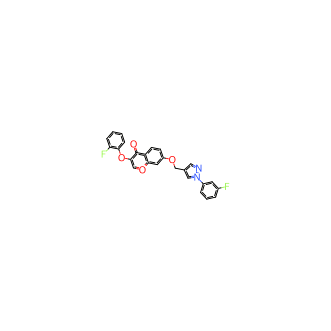 O=c1c(Oc2ccccc2F)coc2cc(OCc3cnn(-c4cccc(F)c4)c3)ccc12